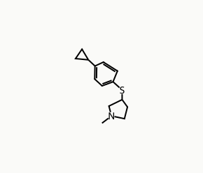 CN1CCC(Sc2ccc(C3CC3)cc2)C1